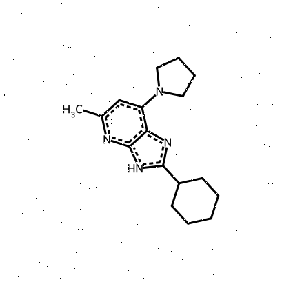 Cc1cc(N2CCCC2)c2nc(C3CCCCC3)[nH]c2n1